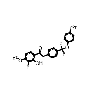 CCCc1ccc(OC(F)(F)c2ccc(CC(=O)c3ccc(OCC)c(F)c3O)cc2)cc1